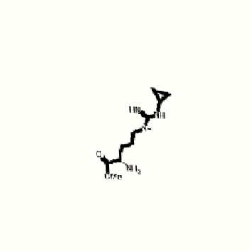 COC(=O)[C@@H](N)CCCNC(=N)NC1CC1